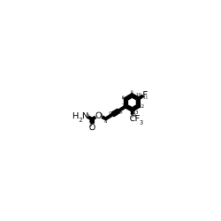 NC(=O)OCC#Cc1ccc(F)cc1C(F)(F)F